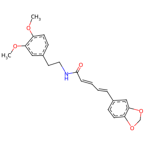 COc1ccc(CCNC(=O)/C=C/C=C/c2ccc3c(c2)OCO3)cc1OC